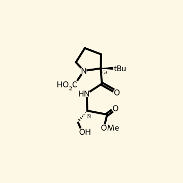 COC(=O)[C@H](CO)NC(=O)[C@@]1(C(C)(C)C)CCCN1C(=O)O